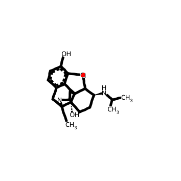 CC(C)N[C@H]1CC[C@@]2(O)C3Cc4ccc(O)c5c4C2(CCN3C)[C@H]1O5